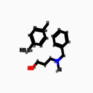 CCN(CCCO)Cc1ccccc1.Cc1ccc(S(=O)(=O)O)cc1